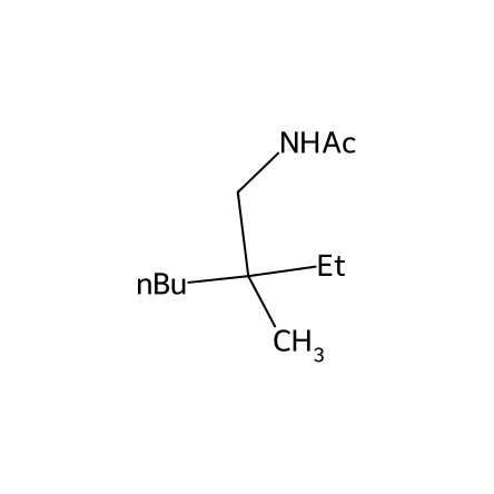 CCCCC(C)(CC)CNC(C)=O